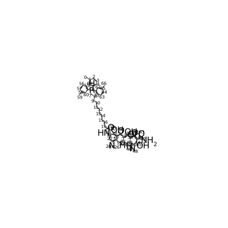 Cc1cccc([PH](CCCCCCCCCCCC(=O)Nc2cc(N(C)C)c3c(c2O)C(=O)C2=C(O)[C@]4(O)C(=O)C(C(N)=O)=C(O)[C@@H](N(C)C)[C@@H]4C[C@@H]2C3)(c2cccc(C)c2)c2cccc(C)c2)c1